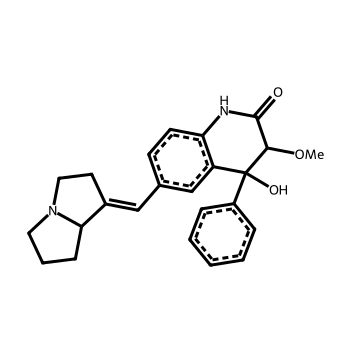 COC1C(=O)Nc2ccc(/C=C3\CCN4CCCC34)cc2C1(O)c1ccccc1